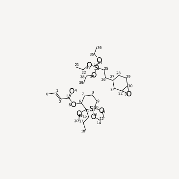 CC=CC(=O)OC1CCC[Si](OC)(OC)C1(CCC)OC.CCO[Si](CCC1CCC2OC2C1)(OCC)OCC